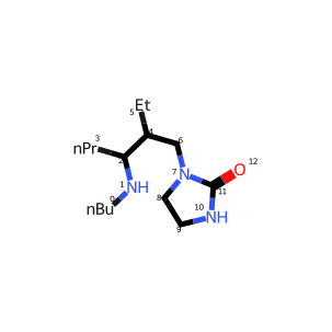 CCCCNC(CCC)C(CC)CN1CCNC1=O